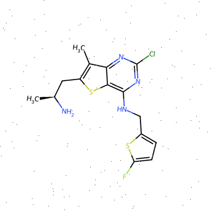 Cc1c(C[C@H](C)N)sc2c(NCc3ccc(F)s3)nc(Cl)nc12